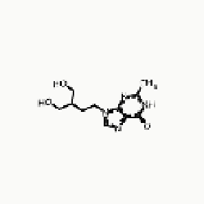 Cc1nc2c(ncn2CCC(CO)CO)c(=O)[nH]1